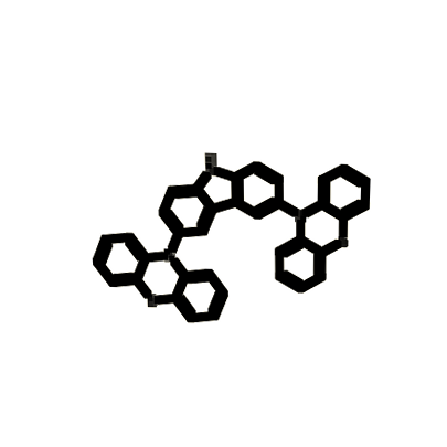 c1ccc2c(c1)Sc1ccccc1N2c1ccc2[nH]c3ccc(N4c5ccccc5Sc5ccccc54)cc3c2c1